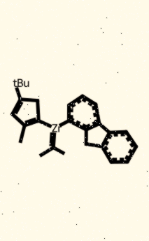 CC1=[C]([Zr](=[C](C)C)[c]2cccc3c2Cc2ccccc2-3)CC(C(C)(C)C)=C1